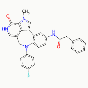 Cn1cc2c3c(c[nH]c(=O)c31)CN(c1ccc(F)cc1)c1ccc(NC(=O)Cc3ccccc3)cc1-2